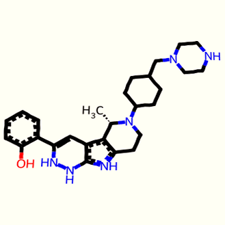 C[C@H]1c2c([nH]c3c2C=C(c2ccccc2O)NN3)CCN1C1CCC(CN2CCNCC2)CC1